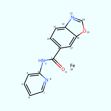 O=C(Nc1ccccn1)c1ccc2ncoc2c1.[Fe]